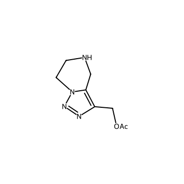 CC(=O)OCc1nnn2c1CNCC2